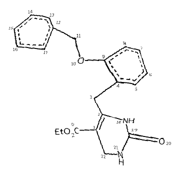 CCOC(=O)C1=C(Cc2ccccc2OCc2ccccc2)NC(=O)NC1